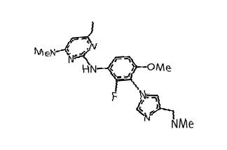 CNCc1cn(-c2c(OC)ccc(Nc3nc(C)cc(NC)n3)c2F)cn1